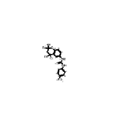 CCC1(CC)CC(CC)(CC)c2cc(NC(=S)Nc3ccc([N+](=O)[O-])cc3)ccc2O1